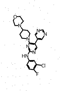 Fc1ccc(Nc2ncc(-c3cncnc3)c(N3CCC(N4CCOCC4)CC3)n2)cc1Cl